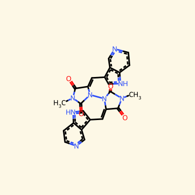 CN1C(=O)/C(=C/c2c[nH]c3ccncc23)N(N2C(=O)N(C)C(=O)/C2=C/c2c[nH]c3ccncc23)C1=O